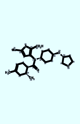 CC1=CC[C@@H](C(=O)N(c2cc(C(C)(C)C)sc2C(=O)O)[C@H]2CC[C@H](O[C@@H]3CCOC3)CC2)[C@H](C)C1